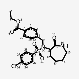 CCOC(=O)c1ccc(CN(C2CCCCNC2=O)S(=O)(=O)c2ccc(Cl)cc2)cc1